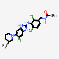 CC(C)(C)C(=O)NCc1ccc(Cl)c(Nc2nc3cc(Cl)c(N4CCCC(C(F)(F)F)C4)cc3[nH]2)c1Cl